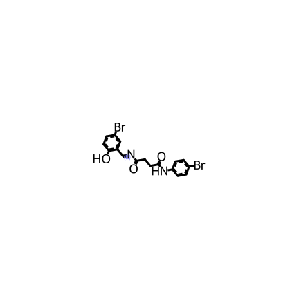 O=C(CCC(=O)Nc1ccc(Br)cc1)/N=C/c1cc(Br)ccc1O